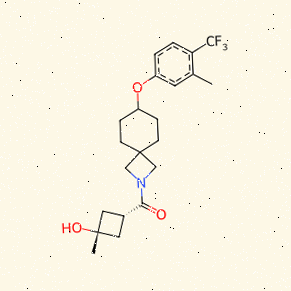 Cc1cc(OC2CCC3(CC2)CN(C(=O)[C@H]2C[C@@](C)(O)C2)C3)ccc1C(F)(F)F